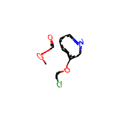 COC=O.ClCOc1cccnc1